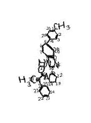 Cc1ccc(-c2ccc3[nH]c([C@@H]4CCCN4C(=O)[C@H](C)c4ccccc4)nc3c2)cc1